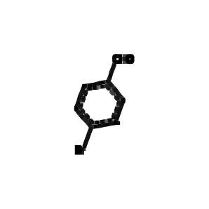 O=Cc1c[c]c(Br)cc1